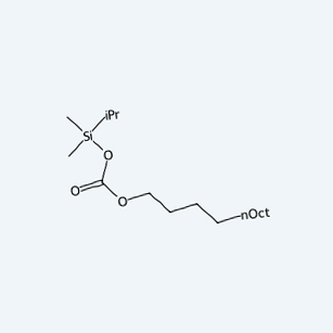 CCCCCCCCCCCCOC(=O)O[Si](C)(C)C(C)C